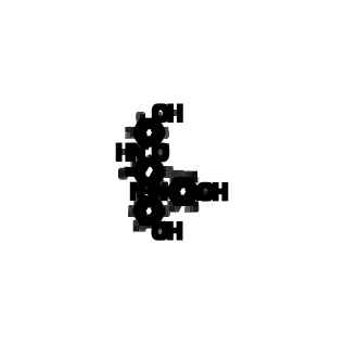 CC1=C(Nc2ccc(O)cc2)C(=O)C=C(Nc2ccc(O)cc2)/C1=N\c1ccc(O)cc1